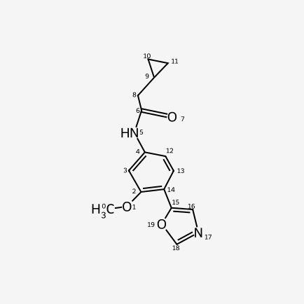 COc1cc(NC(=O)CC2CC2)ccc1-c1cnco1